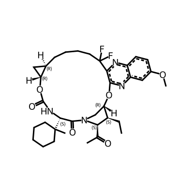 CC[C@@H]1[C@@H]2CN(C(=O)[C@H](C3(C)CCCCC3)NC(=O)O[C@@H]3C[C@H]3CCCCC(F)(F)c3nc4ccc(OC)cc4nc3O2)[C@@H]1C(C)=O